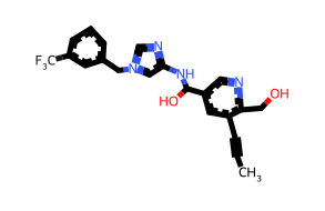 CC#Cc1cc(C(O)Nc2cn(Cc3cccc(C(F)(F)F)c3)cn2)cnc1CO